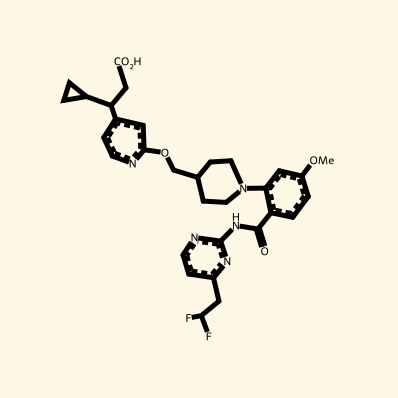 COc1ccc(C(=O)Nc2nccc(CC(F)F)n2)c(N2CCC(COc3cc(C(CC(=O)O)C4CC4)ccn3)CC2)c1